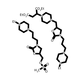 CCN1CCN(CCCN2CC(COS(C)(=O)=O)OC2=O)CC1.CCOC(=O)CC(C(=O)OCC)N1CCN(CC2CN(CCCN3CCN(CC)CC3)C(=O)O2)CC1